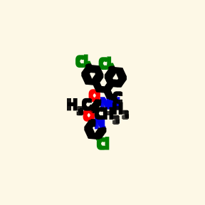 CC(NC(=O)C(C)(C)Oc1ccc(Cl)cn1)C(Cc1ccc(Cl)cc1)c1cccc(Cl)c1